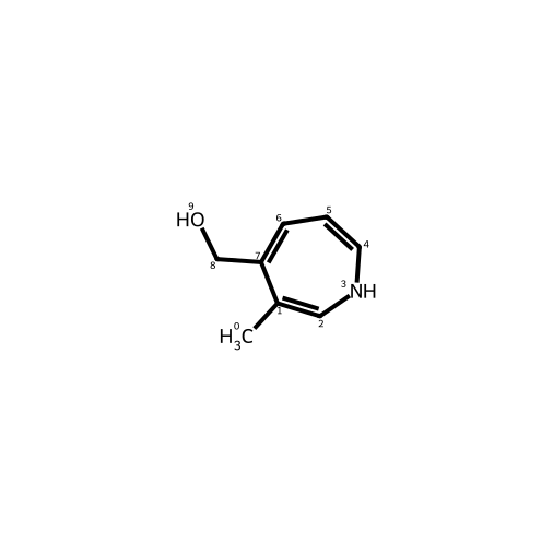 CC1=CNC=CC=C1CO